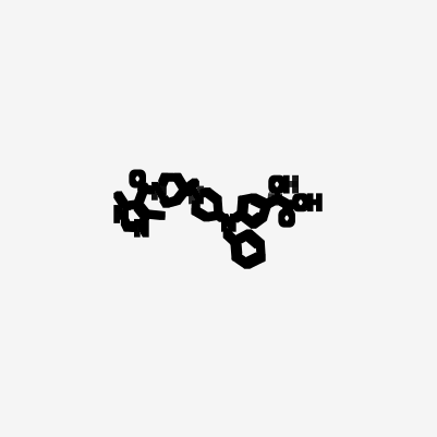 Cc1ncnc(C)c1C(=O)N1CCC(C)(N2CCC(N(Cc3ccccc3)c3ccc([C@H](O)C(=O)O)cc3)CC2)CC1